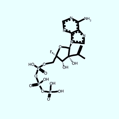 C=C(C)[C@]1(O)[C@H](n2cnc3c(N)ncnc32)O[C@](F)(COP(=O)(O)OP(=O)(O)OP(=O)(O)O)[C@H]1O